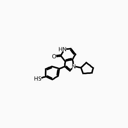 O=c1[nH]ccc2c1c(-c1ccc(S)cc1)cn2C1CCCC1